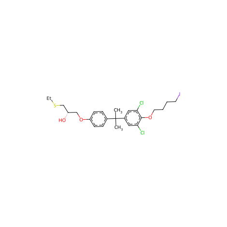 CCSC[C@@H](O)COc1ccc(C(C)(C)c2cc(Cl)c(OCCCCI)c(Cl)c2)cc1